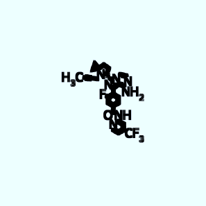 CC#CCN1[C@H](c2nc(-c3ccc(C(=O)Nc4cc(C(F)(F)F)ccn4)cc3F)c3c(N)nccn23)CCC12CC2